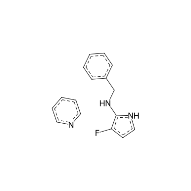 Fc1cc[nH]c1NCc1ccccc1.c1ccncc1